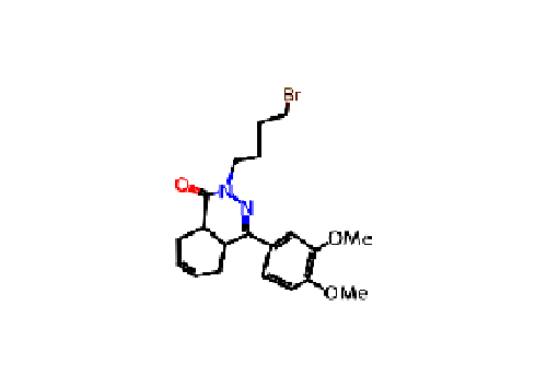 COc1ccc(C2=NN(CCCCBr)C(=O)C3CC=CCC23)cc1OC